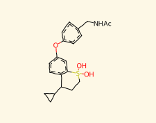 CC(=O)NCc1ccc(Oc2ccc3c(c2)S(O)(O)CCC3C2CC2)cc1